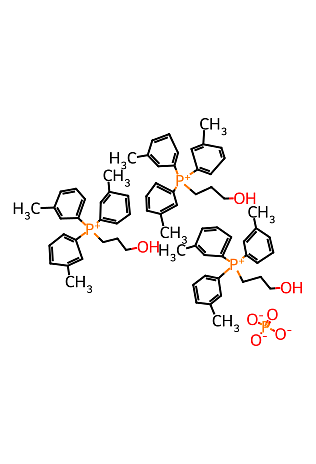 Cc1cccc([P+](CCCO)(c2cccc(C)c2)c2cccc(C)c2)c1.Cc1cccc([P+](CCCO)(c2cccc(C)c2)c2cccc(C)c2)c1.Cc1cccc([P+](CCCO)(c2cccc(C)c2)c2cccc(C)c2)c1.O=P([O-])([O-])[O-]